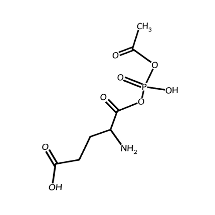 CC(=O)OP(=O)(O)OC(=O)C(N)CCC(=O)O